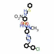 Cn1nc(NS(=O)(=O)c2ccc(NCCSc3ccccc3)c([N+](=O)[O-])c2)c2ccc(N3CCN(Cc4ccccc4-c4ccc(Cl)cc4)CC3)cc21